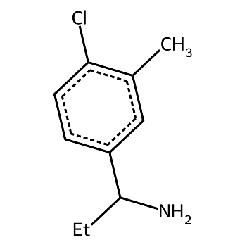 CCC(N)c1ccc(Cl)c(C)c1